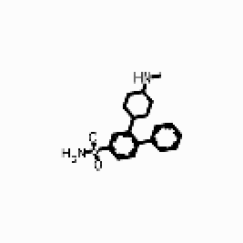 CNC1CCC(c2cc(S(N)(=O)=O)ccc2-c2ccccc2)CC1